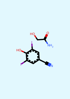 N#Cc1cc(I)c(O)c(I)c1.NC(=O)CO